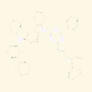 C=C/C(=C\C=C(/C)c1nc(-c2ccccc2)nc(-n2c3ccccc3c3c4c5ccccc5n(-c5cccc(-c6ccccc6)c5)c4ccc32)n1)c1ccccc1